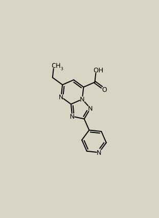 CCc1cc(C(=O)O)n2nc(-c3ccncc3)nc2n1